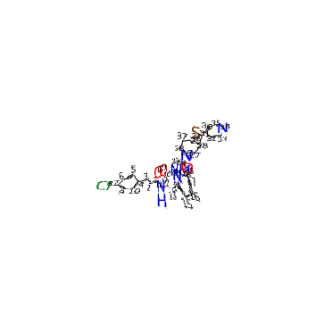 O=C(C=Cc1ccc(Cl)cc1)N[C@@H](Cc1ccccn1)C(=O)NCC(=O)N1CCC(Sc2ccncc2)CC1